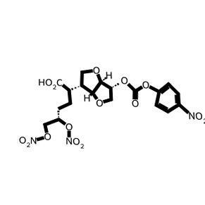 O=C(Oc1ccc([N+](=O)[O-])cc1)O[C@@H]1CO[C@H]2[C@H]1OC[C@H]2C(CC[C@@H](CO[N+](=O)[O-])O[N+](=O)[O-])C(=O)O